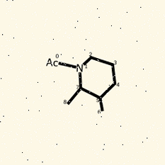 CC(=O)N1CCCC(C)C1C